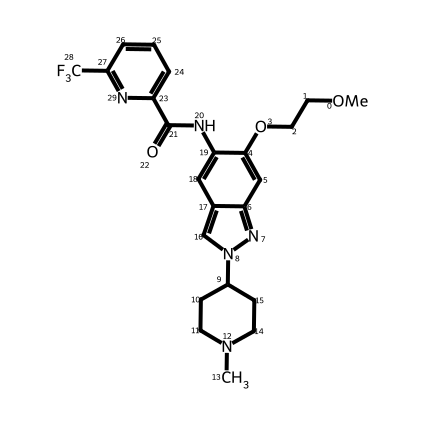 COCCOc1cc2nn(C3CCN(C)CC3)cc2cc1NC(=O)c1cccc(C(F)(F)F)n1